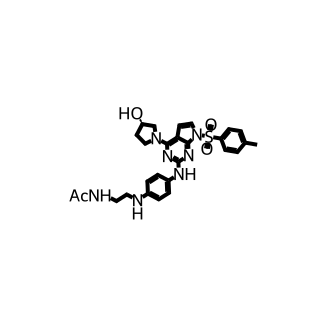 CC(=O)NCCNc1ccc(Nc2nc(N3CC[C@H](O)C3)c3ccn(S(=O)(=O)c4ccc(C)cc4)c3n2)cc1